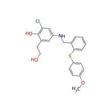 COc1ccc(Sc2ccccc2CNc2cc(Cl)c(O)c(CCO)c2)cc1